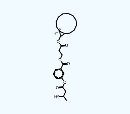 CC(S)CC(=O)Oc1cccc(C(=O)OCCC(=O)OC2C3CCCCCCCCCC[C@@H]32)c1